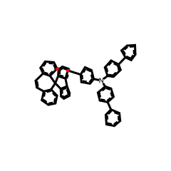 C1=Cc2ccccc2C2(c3ccccc31)c1ccccc1-c1c(-c3ccc(N(c4ccc(-c5ccccc5)cc4)c4ccc(-c5ccccc5)cc4)cc3)cccc12